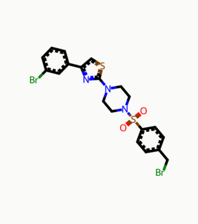 O=S(=O)(c1ccc(CBr)cc1)N1CCN(c2nc(-c3cccc(Br)c3)cs2)CC1